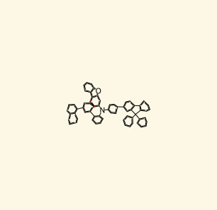 c1ccc(C2(c3ccccc3)c3ccccc3-c3ccc(-c4ccc(N(c5ccc6c(c5)oc5ccccc56)c5ccccc5-c5cccc(-c6cccc7ccccc67)c5)cc4)cc32)cc1